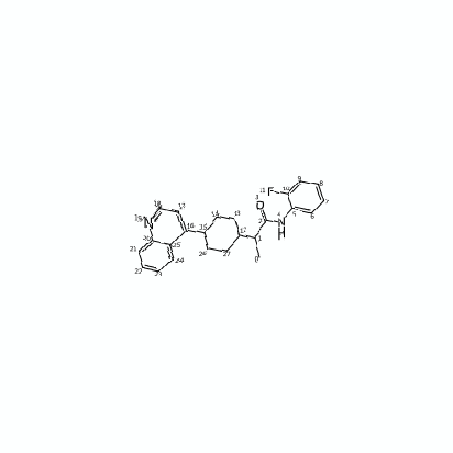 CC(C(=O)Nc1ccccc1F)C1CCC(c2ccnc3ccccc23)CC1